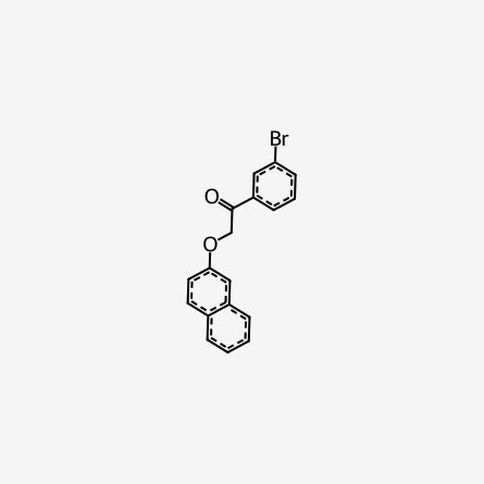 O=C(COc1ccc2ccccc2c1)c1cccc(Br)c1